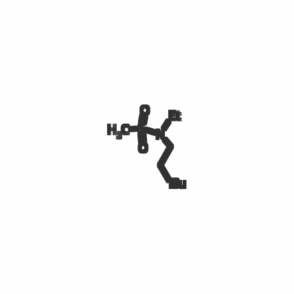 CCC(C)CCN(CC)S(C)(=O)=O